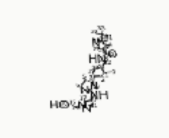 Cc1cc(-c2ccnc(Nc3cnn(CCO)c3)n2)ccc1CNC(=O)c1cnc(C(C)(C)C)s1